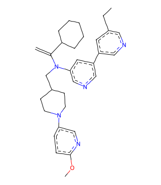 C=C(C1CCCCC1)N(CC1CCN(c2ccc(OC)nc2)CC1)c1cncc(-c2cncc(CC)c2)c1